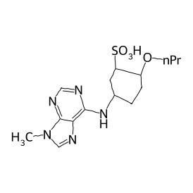 CCCOC1CCC(Nc2ncnc3c2ncn3C)CC1S(=O)(=O)O